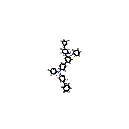 Fc1ccc(N(c2ccc(-c3ccccc3)cc2)c2ccc(-c3ccc4c(c3)c3ccc(-c5ccccc5)cc3n4-c3ccccc3)cc2)cc1